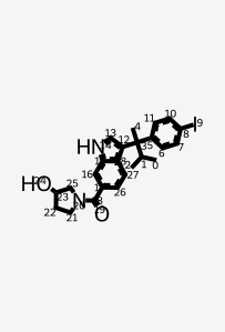 CC(C)C(C)(c1ccc(I)cc1)c1c[nH]c2cc(C(=O)N3CCC(O)C3)ccc12